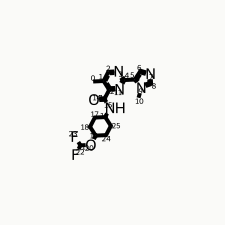 Cc1cnc(-c2cncn2C)nc1C(=O)NC1CCC(OC(F)F)CC1